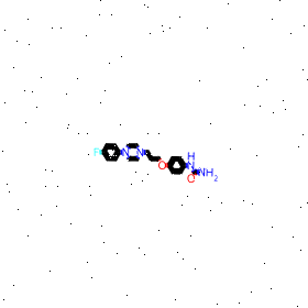 NC(=O)Nc1ccc(OCCCN2CCN(c3ccc(F)cc3)CC2)cc1